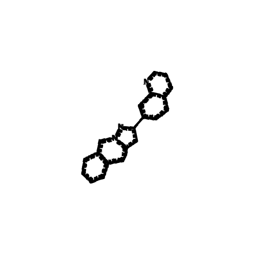 c1ccc2cn3nc(-c4ccc5cccnc5c4)cc3cc2c1